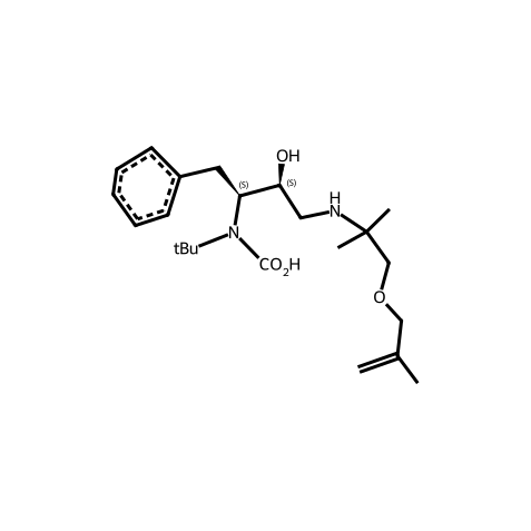 C=C(C)COCC(C)(C)NC[C@H](O)[C@H](Cc1ccccc1)N(C(=O)O)C(C)(C)C